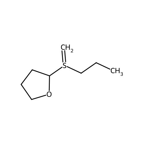 C=S(CCC)C1CCCO1